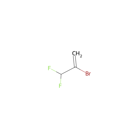 C=C(Br)C(F)F